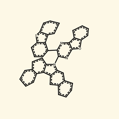 c1ccc2cc3c(cc2c1)c1c2ccccc2ccc1n3-c1nc2oc3ccccc3c2nc1-c1cccc2sc3ccccc3c12